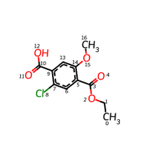 CCOC(=O)c1cc(Cl)c(C(=O)O)cc1OC